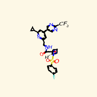 O=C(NCc1cc(-c2cnc(C(F)(F)F)nc2)cc(C2CC2)n1)[C@@H]1C2CC(C2)N1S(=O)(=O)c1ccc(F)cc1